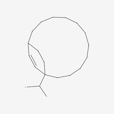 [CH2]C(C)C12C=CC(CCCCCCCCCCC1)CC2